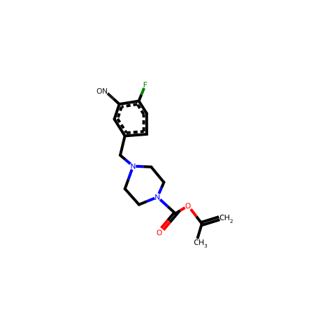 C=C(C)OC(=O)N1CCN(Cc2ccc(F)c(N=O)c2)CC1